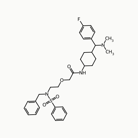 CN(C)C(c1ccc(F)cc1)C1CCC(NC(=O)COCCN(Cc2ccccc2)S(=O)(=O)c2ccccc2)CC1